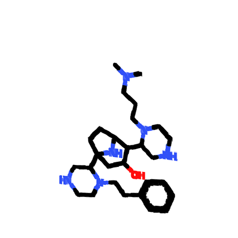 CN(C)CCCN1CCNCC1C1C(O)CC2(C3CNCCN3CCc3ccccc3)CCC1N2